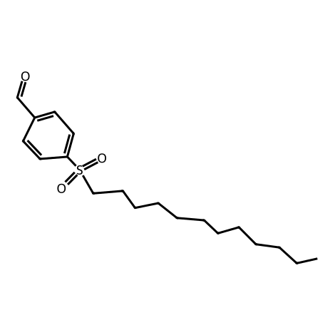 CCCCCCCCCCCCS(=O)(=O)c1ccc(C=O)cc1